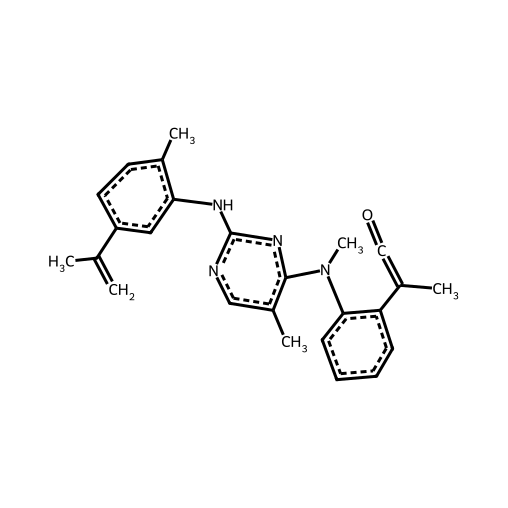 C=C(C)c1ccc(C)c(Nc2ncc(C)c(N(C)c3ccccc3C(C)=C=O)n2)c1